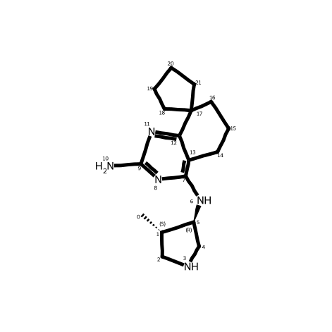 C[C@H]1CNC[C@@H]1Nc1nc(N)nc2c1CCCC21CCCC1